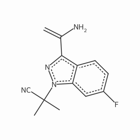 C=C(N)c1nn(C(C)(C)C#N)c2cc(F)ccc12